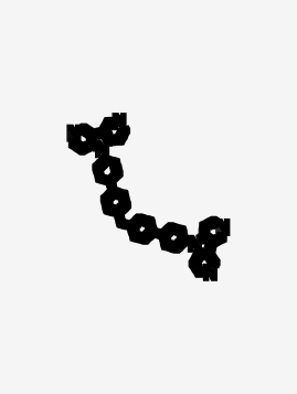 C1=CC(c2ccc(Cc3ccc(-c4ccc(-n5c6ccncc6c6cnccc65)cc4)cc3)cc2)CC=C1n1c2ccncc2c2cnccc21